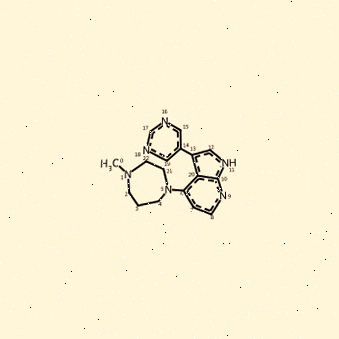 CN1CCCN(c2ccnc3[nH]cc(-c4cncnc4)c23)CC1